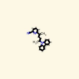 C/C(=C\C=C(/C)n1c2ccccc2c2ccccc21)c1cccc(C#N)n1